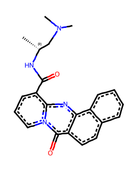 C[C@H](CN(C)C)NC(=O)c1cccn2c(=O)c3ccc4ccccc4c3nc12